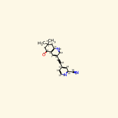 CC1(C)CC(=O)c2cc(C#Cc3ccnc(C#N)c3)cnc2C1